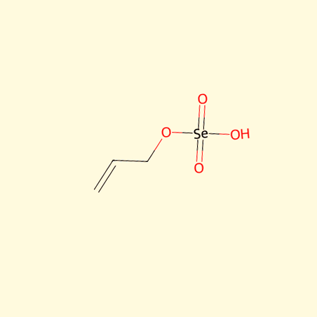 C=CCO[Se](=O)(=O)O